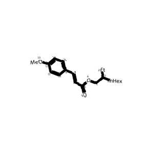 CCCCCCC(CC)COC(=O)C=Cc1ccc(OC)cc1